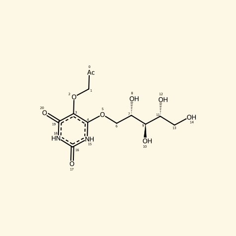 CC(=O)COc1c(OC[C@H](O)[C@H](O)[C@H](O)CO)[nH]c(=O)[nH]c1=O